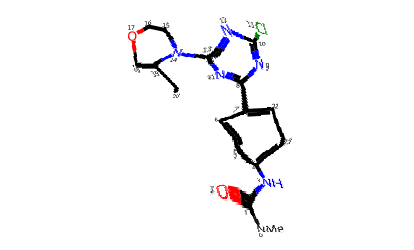 CNC(=O)Nc1ccc(-c2nc(Cl)nc(N3CCOCC3C)n2)cc1